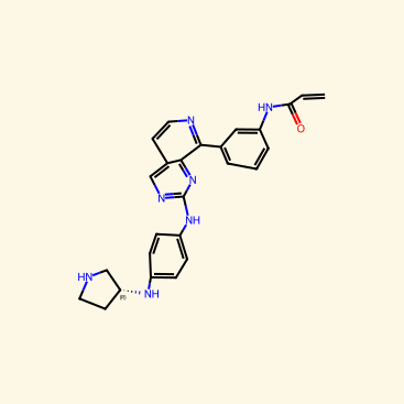 C=CC(=O)Nc1cccc(-c2nccc3cnc(Nc4ccc(N[C@@H]5CCNC5)cc4)nc23)c1